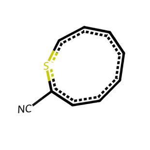 N#Cc1cccccccs1